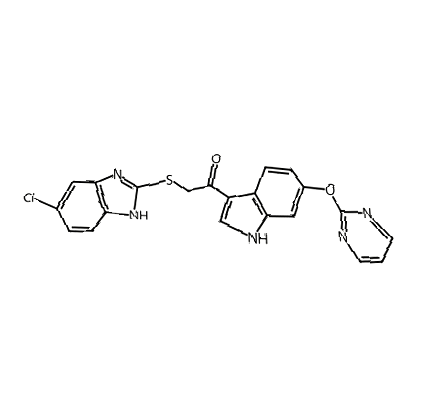 O=C(CSc1nc2cc(Cl)ccc2[nH]1)c1c[nH]c2cc(Oc3ncccn3)ccc12